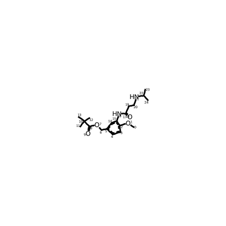 COc1ccc(COC(=O)C(C)(C)C)cc1NC(=O)CCNC(C)C